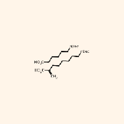 C=C(CCCCCCCCCCCCCCCC)C(=O)O.CCCCCCCCCCCCCCCC(=O)O